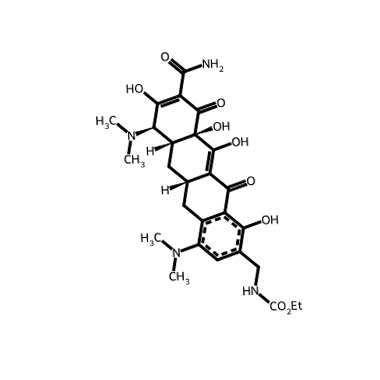 CCOC(=O)NCc1cc(N(C)C)c2c(c1O)C(=O)C1=C(O)[C@@]3(O)C(=O)C(C(N)=O)=C(O)[C@H](N(C)C)[C@H]3C[C@H]1C2